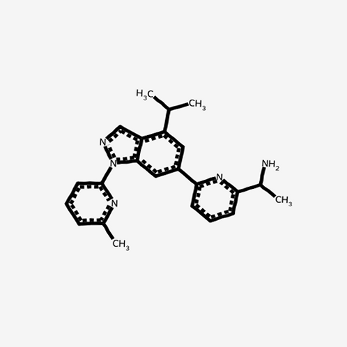 Cc1cccc(-n2ncc3c(C(C)C)cc(-c4cccc(C(C)N)n4)cc32)n1